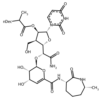 CCCCCCCCCCC(C)C(=O)O[C@@H]1[C@H](CO)[C@@H]([C@@H](O[C@H]2OC(C(=O)N[C@H]3CCC[C@@H](C)NC3=O)=C[C@H](O)[C@@H]2O)C(N)=O)O[C@H]1n1ccc(=O)[nH]c1=O